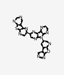 c1ncc2c(n1)oc1ncc(-n3c4nccnc4c4nc(-c5cnc6sc7ncncc7c6n5)cnc43)cc12